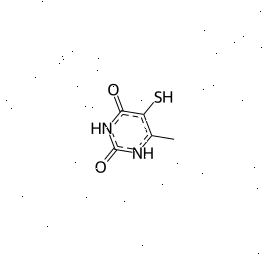 Cc1[nH]c(=O)[nH]c(=O)c1S